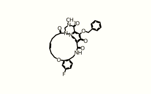 CN1CN2C(=O)CC/C=C\CCOc3cc(F)ccc3CNC(=O)c3cn2c(c(OCc2ccccc2)c3=O)C1=O